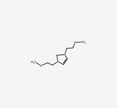 COCCN1C=CN(CCOC)C1